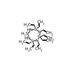 C=CN1[Si](C=C)(C=C)N[SiH2]N[Si](C=C)(C=C)N(C=C)[Si]1(C=C)C=C